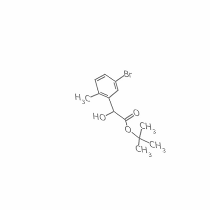 Cc1ccc(Br)cc1C(O)C(=O)OC(C)(C)C